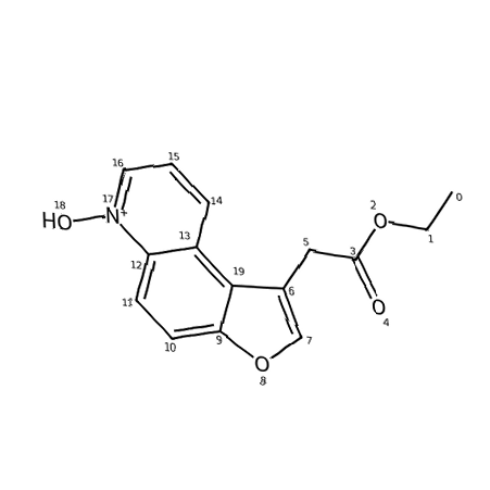 CCOC(=O)Cc1coc2ccc3c(ccc[n+]3O)c12